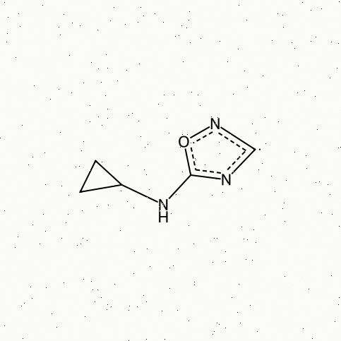 [c]1noc(NC2CC2)n1